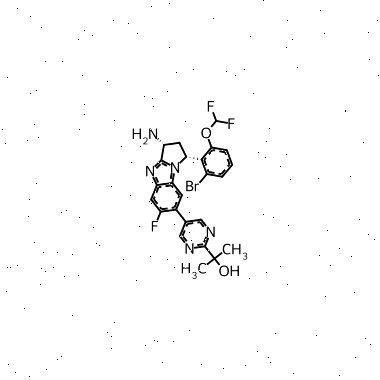 CC(C)(O)c1ncc(-c2cc3c(cc2F)nc2n3[C@@H](c3c(Br)cccc3OC(F)F)C[C@H]2N)cn1